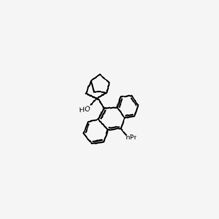 CCCc1c2ccccc2c(C2(O)CC3CCC2C3)c2ccccc12